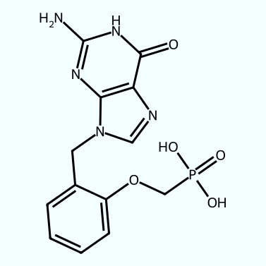 Nc1nc2c(ncn2Cc2ccccc2OCP(=O)(O)O)c(=O)[nH]1